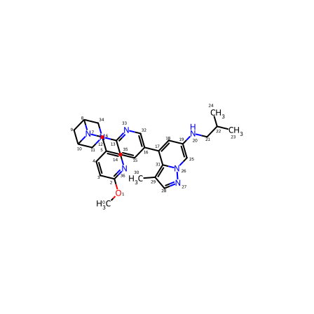 COc1ccc(CN2C3CC2CN(c2ccc(-c4cc(NCC(C)C)cn5ncc(C)c45)cn2)C3)cn1